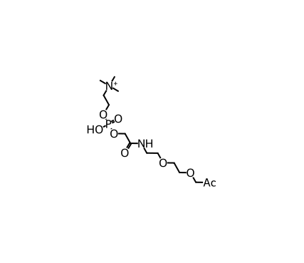 CC(=O)COCCOCCNC(=O)COP(=O)(O)OCC[N+](C)(C)C